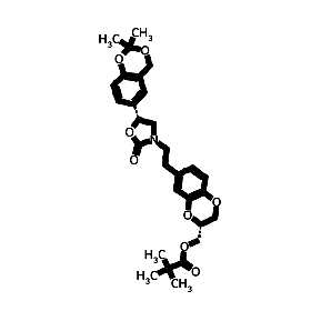 CC1(C)OCc2cc([C@@H]3CN(CCc4ccc5c(c4)O[C@@H](COC(=O)C(C)(C)C)CO5)C(=O)O3)ccc2O1